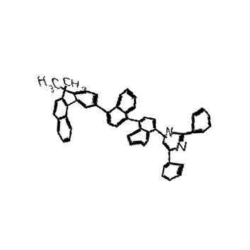 CC1(C)c2ccc(-c3ccc(-c4ccc(-c5cc(-c6ccccc6)nc(-c6ccccc6)n5)c5ccccc45)c4ccccc34)cc2-c2c1ccc1ccccc21